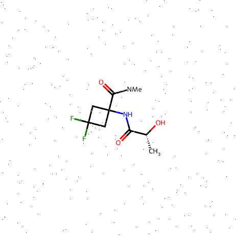 CNC(=O)C1(NC(=O)[C@@H](C)O)CC(F)(F)C1